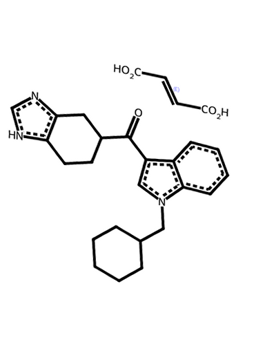 O=C(O)/C=C/C(=O)O.O=C(c1cn(CC2CCCCC2)c2ccccc12)C1CCc2[nH]cnc2C1